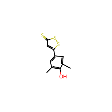 Cc1cc(-c2cc(=S)ss2)cc(C)c1O